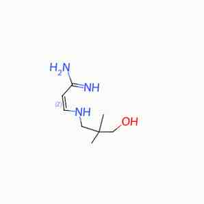 CC(C)(CO)CN/C=C\C(=N)N